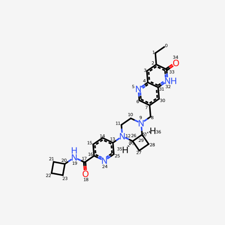 CCc1cc2ncc(CN3CCN(c4ccc(C(=O)NC5CCC5)nc4)[C@@H]4CC[C@@H]43)cc2[nH]c1=O